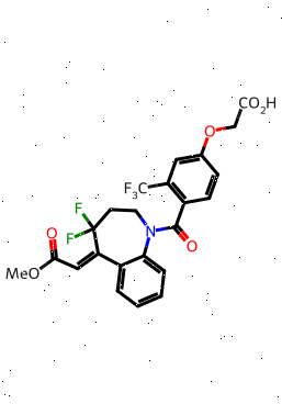 COC(=O)C=C1c2ccccc2N(C(=O)c2ccc(OCC(=O)O)cc2C(F)(F)F)CCC1(F)F